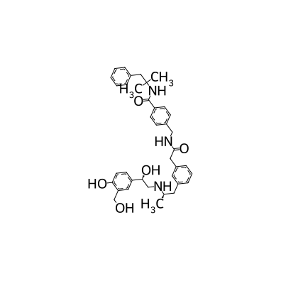 C[C@H](Cc1cccc(CC(=O)NCc2ccc(C(=O)NC(C)(C)Cc3ccccc3)cc2)c1)NC[C@H](O)c1ccc(O)c(CO)c1